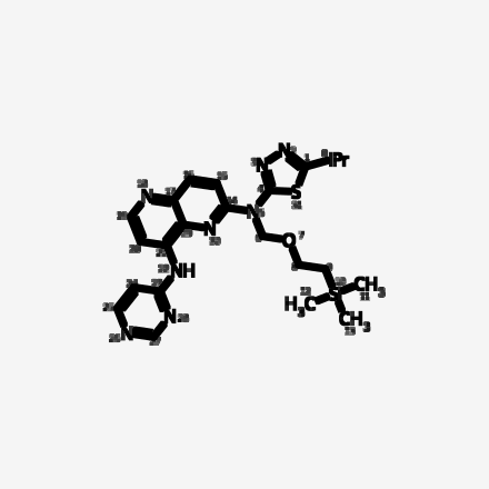 CC(C)c1nnc(N(COCC[Si](C)(C)C)c2ccc3nccc(Nc4ccncn4)c3n2)s1